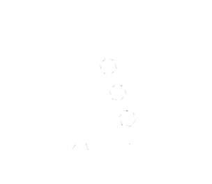 C=CC(=O)OCCOc1cc(-c2ccc(-c3ccc(CCCCC)cc3)cc2CC)ccc1C[Si](OCC)(OCC)OCC